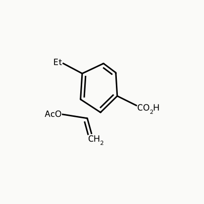 C=COC(C)=O.CCc1ccc(C(=O)O)cc1